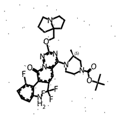 C[C@H]1CN(C(=O)OC(C)(C)C)CCN1c1nc(OCC23CCCN2CCC3)nn2c(=O)c(-c3c(N)cccc3F)c(C(F)(F)F)cc12